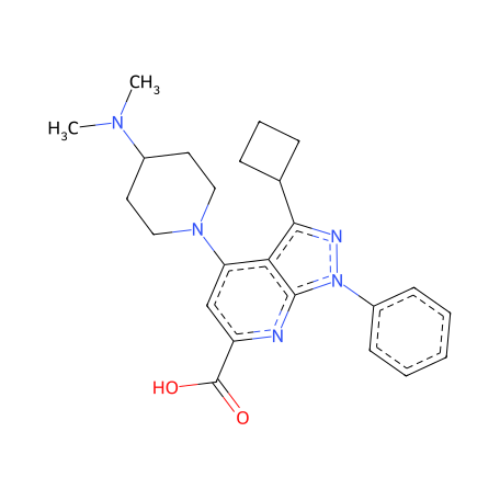 CN(C)C1CCN(c2cc(C(=O)O)nc3c2c(C2CCC2)nn3-c2ccccc2)CC1